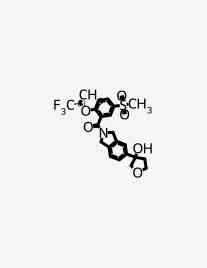 C[C@H](Oc1ccc(S(C)(=O)=O)cc1C(=O)N1Cc2ccc(C3(O)CCOC3)cc2C1)C(F)(F)F